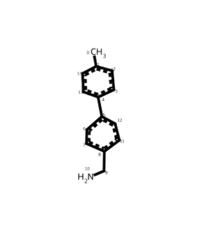 Cc1[c]cc(-c2ccc(CN)cc2)cc1